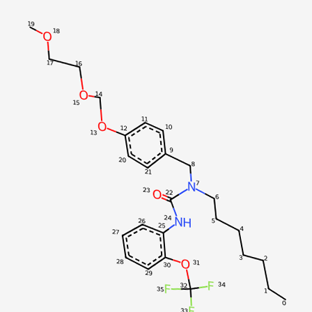 CCCCCCCN(Cc1ccc(OCOCCOC)cc1)C(=O)Nc1ccccc1OC(F)(F)F